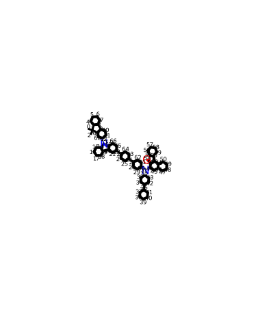 CC1(C)c2ccccc2-c2ccc(-n3c4ccccc4c4cc(-c5ccc(-c6ccc(N(c7ccc(-c8ccccc8)cc7)c7cc8ccccc8c8c7oc7ccccc78)cc6)cc5)ccc43)cc21